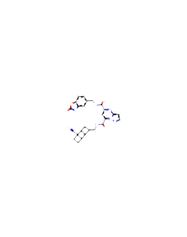 N#CC12C3C4C1C1C2C3C41CNC(=O)c1cc(C(=O)NCc2ccc3oc(=O)[nH]c3c2)nc2ccnn12